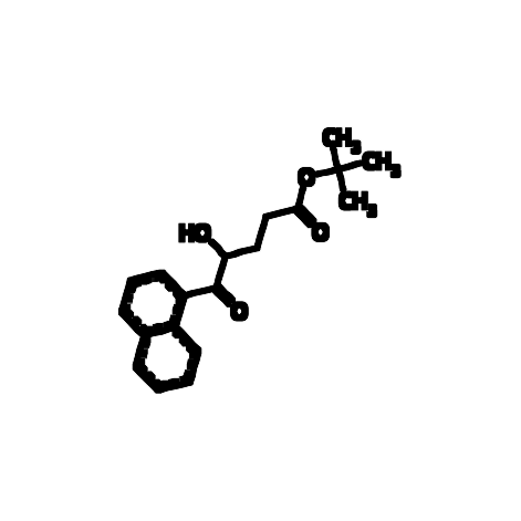 CC(C)(C)OC(=O)CCC(O)C(=O)c1cccc2ccccc12